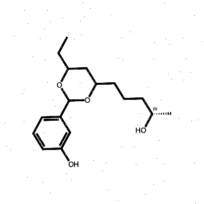 CCC1CC(CCC[C@H](C)O)OC(c2cccc(O)c2)O1